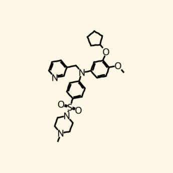 COc1ccc(N(Cc2cccnc2)c2ccc(S(=O)(=O)N3CCN(C)CC3)cc2)cc1OC1CCCC1